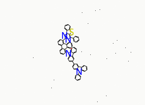 c1ccc(-c2nc(-c3cccc4c5cccc(-n6c7ccccc7c7cc(-c8ccc9c(c8)c8ccccc8n9-c8ccccc8)ccc76)c5c5ccccc5c34)nc3c2sc2ccccc23)cc1